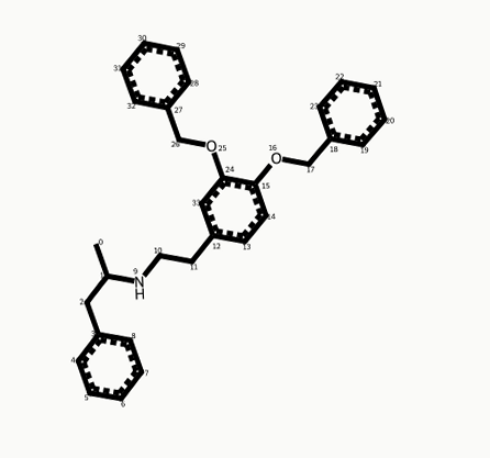 CC(Cc1ccccc1)NCCc1ccc(OCc2ccccc2)c(OCc2ccccc2)c1